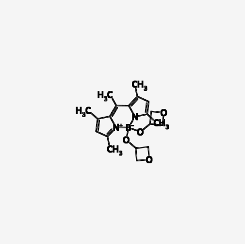 CC1=CC(C)=[N+]2C1=C(C)c1c(C)cc(C)n1[B-]2(OC1COC1)OC1COC1